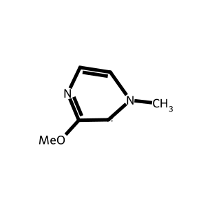 COC1=NC=CN(C)[C]1